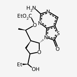 CCOC(=O)O[C@H](C)[C@@H]1CC([C@@H](O)CC)O[C@H]1n1c(=O)sc2cnc(N)nc21